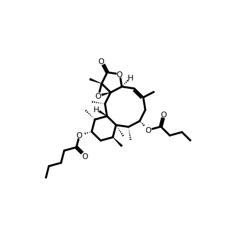 CCCCC(=O)O[C@H]1C[C@H](C)[C@@]2(C)[C@H]([C@H]1C)[C@H](C)[C@]13O[C@]1(C)C(=O)O[C@H]3/C=C(/C)C[C@H](OC(=O)CCC)[C@@H]2C